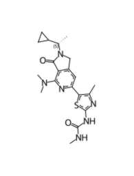 CNC(=O)Nc1nc(C)c(-c2cc3c(c(N(C)C)n2)C(=O)N([C@@H](C)C2CC2)C3)s1